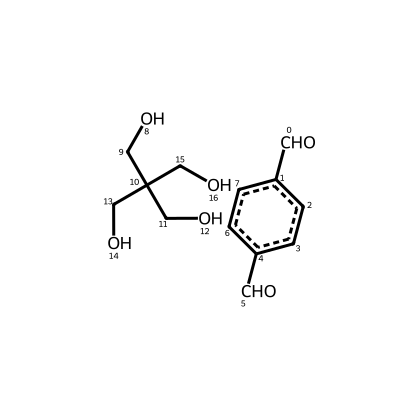 O=Cc1ccc(C=O)cc1.OCC(CO)(CO)CO